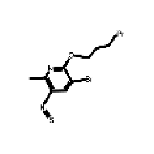 Cc1nc(OCCCC(C)C)c(Br)cc1N=S